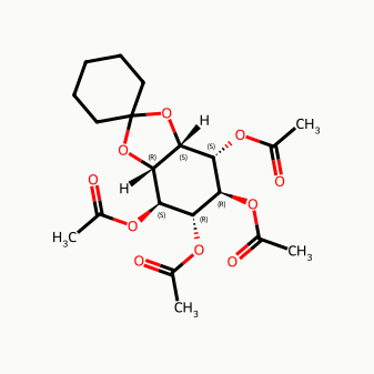 CC(=O)O[C@H]1[C@H](OC(C)=O)[C@@H](OC(C)=O)[C@@H]2OC3(CCCCC3)O[C@@H]2[C@@H]1OC(C)=O